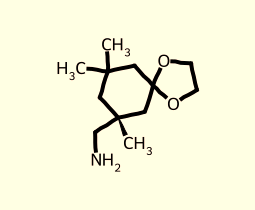 CC1(C)CC2(C[C@](C)(CN)C1)OCCO2